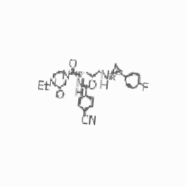 CCN1CCN(C(=O)[C@H](CCCN[C@@H]2C[C@H]2c2ccc(F)cc2)NC(=O)c2ccc(C#N)cc2)CC1=O